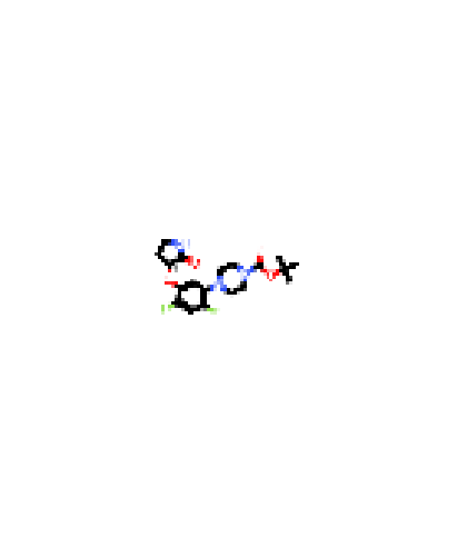 CC(C)(C)OC(=O)N1CCN(c2cc(O[C@@H]3CCNC3=O)c(F)cc2F)CC1